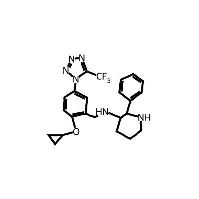 FC(F)(F)c1nnnn1-c1ccc(OC2CC2)c(CNC2CCCNC2c2ccccc2)c1